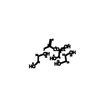 C=C(C)C(=O)OCC.OCCO.OCCO.OCCO